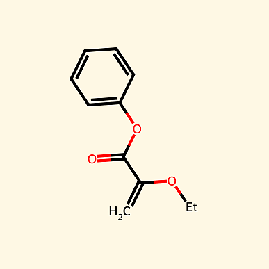 C=C(OCC)C(=O)Oc1ccccc1